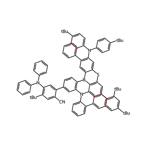 CC(C)(C)c1ccc(N(c2ccc(C(C)(C)C)cc2)c2cc3c(cc2-c2ccccc2)B2c4ccc(-c5cc(N(c6ccccc6)c6ccccc6)c(C(C)(C)C)cc5C#N)cc4N(c4ccccc4-c4ccccc4)c4cc(-c5ccc(C(C)(C)C)cc5C(C)(C)C)cc(c42)S3)cc1